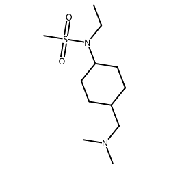 CCN(C1CCC(CN(C)C)CC1)S(C)(=O)=O